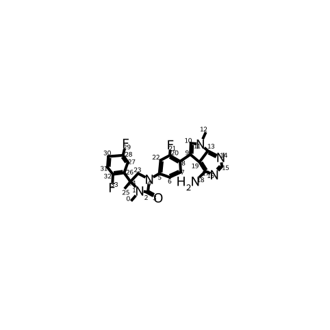 CN1C(=O)N(c2ccc(-c3cn(C)c4ncnc(N)c34)c(F)c2)CC1(C)c1cc(F)ccc1F